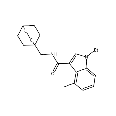 CCn1cc(C(=O)NCC23CCC(CC2)CC3)c2c(C)cccc21